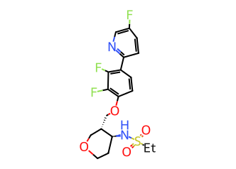 CCS(=O)(=O)N[C@H]1CCOC[C@@H]1COc1ccc(-c2ccc(F)cn2)c(F)c1F